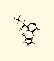 CC(C)(C)OC(=O)c1ccnc(Nc2ccsc2Cl)c1